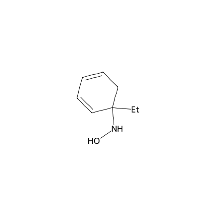 CCC1(NO)C=CC=CC1